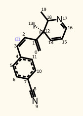 C=C(/C=C\c1ccc(C#N)cc1)[C@]1(I)C=CC=NC1C